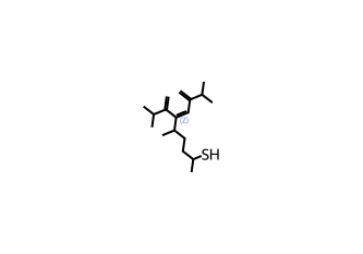 C=C(/C=C(\C(=C)C(C)C)C(C)CCC(C)S)C(C)C